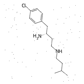 CC(C)CCNC[CH][C@H](N)Cc1ccc(Cl)cc1